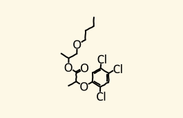 CCCCOCC(C)OC(=O)C(C)Oc1cc(Cl)c(Cl)cc1Cl